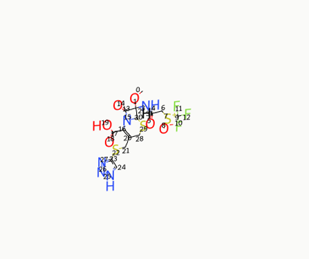 CO[C@@]1(NC(=O)C[S+]([O-])C(F)(F)F)C(=O)N2C(C(=O)O)=C(CSc3c[nH]nn3)CS[C@@H]21